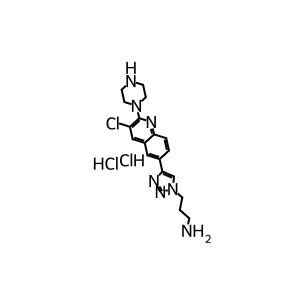 Cl.Cl.NCCCn1cc(-c2ccc3nc(N4CCNCC4)c(Cl)cc3c2)nn1